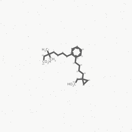 CC(C)(CCCCc1ccccc1CCCCC1(CC(=O)O)CC1)CC(=O)O